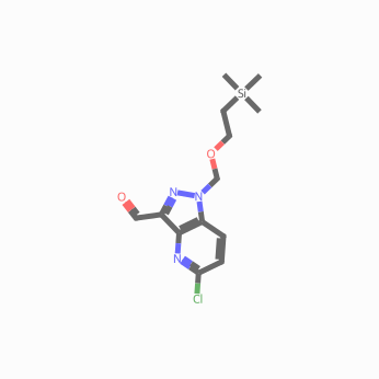 C[Si](C)(C)CCOCn1nc(C=O)c2nc(Cl)ccc21